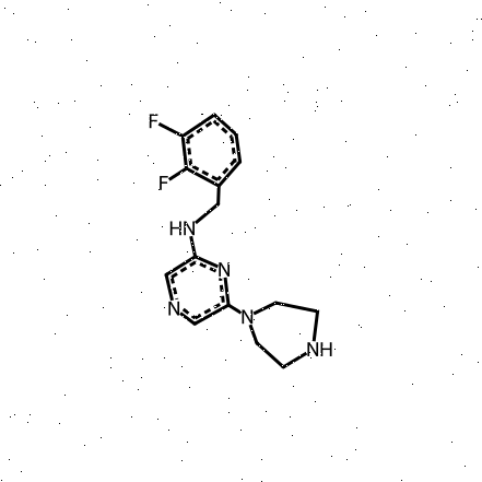 Fc1cccc(CNc2cncc(N3CCNCC3)n2)c1F